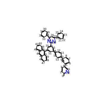 Cc1ccc(-c2cccc(-c3ccc(-c4cc(-c5nc(-c6ccccc6)cc(-c6ccccc6)n5)cc(-c5c6ccccc6cc6ccccc56)c4)cc3)c2)cn1